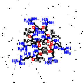 CC(C)[C@H](NC(=O)[C@H](CCCNC(=N)N)NC(=O)[C@H](CCCNC(=N)N)NC(=O)[C@@H](NC(=O)[C@@H](NC(=O)[C@H](CCCNC(=N)N)NC(=O)[C@@H](NC(=O)[C@@H](NC(=O)[C@@H](N)CCCNC(=N)N)C(C)C)C(C)C)C(C)C)C(C)C)C(=O)N[C@H](C(=O)N[C@@H](CCCNC(=N)N)C(=O)N[C@@H](CCCNC(=N)N)C(=O)O)C(C)C